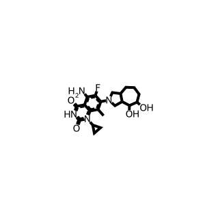 Cc1c(N2CC3CCCC(O)C(O)C3C2)c(F)c(N)c2c(=O)[nH]c(=O)n(C3CC3)c12